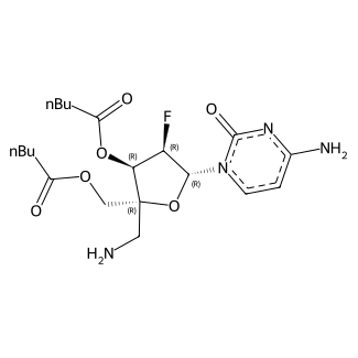 CCCCC(=O)OC[C@@]1(CN)O[C@@H](n2ccc(N)nc2=O)[C@H](F)[C@@H]1OC(=O)CCCC